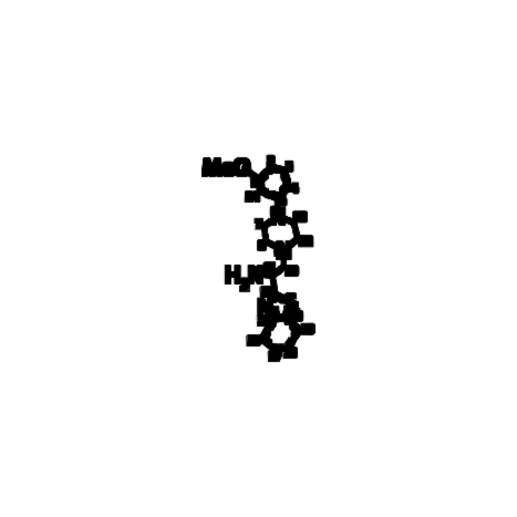 COc1cccc(N2CCN(CC(N)c3nc4ccccc4s3)CC2)c1